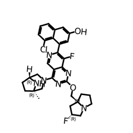 C[C@@]12CC[C@H](CN(c3nc(OC[C@@]45CCCN4C[C@H](F)C5)nc4c(F)c(-c5cc(O)cc6cccc(Cl)c56)ncc34)C1)N2